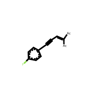 CC(=O)C(=CC#Cc1ccc(F)cc1)C(C)=O